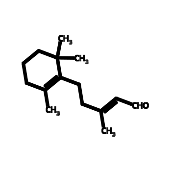 CC(=CC=O)CCC1=C(C)CCCC1(C)C